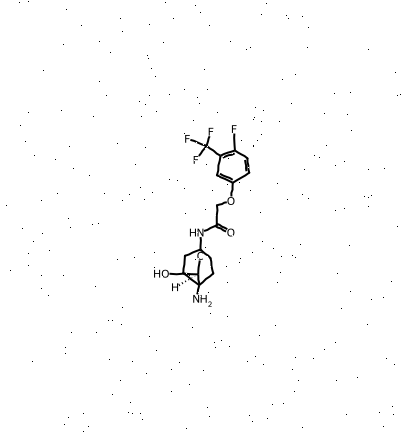 NC12CCC(NC(=O)COc3ccc(F)c(C(F)(F)F)c3)(CC1)C[C@@H]2O